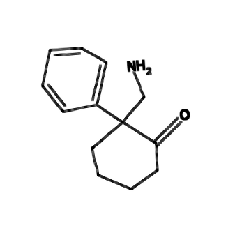 NCC1(c2ccccc2)CCCCC1=O